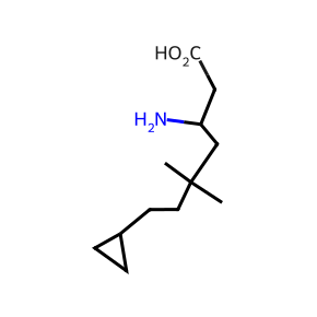 CC(C)(CCC1CC1)CC(N)CC(=O)O